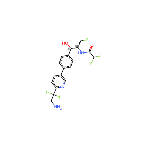 NCC(F)(F)c1ccc(-c2ccc([C@@H](O)[C@@H](CF)NC(=O)C(F)F)cc2)cn1